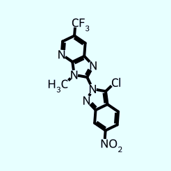 Cn1c(-n2nc3cc([N+](=O)[O-])ccc3c2Cl)nc2cc(C(F)(F)F)cnc21